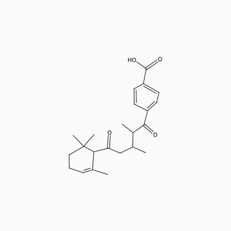 CC1=CCCC(C)(C)C1C(=O)CC(C)C(C)C(=O)c1ccc(C(=O)O)cc1